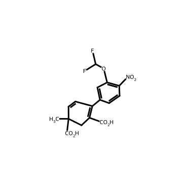 CC1(C(=O)O)C=CC(c2ccc([N+](=O)[O-])c(OC(F)F)c2)=C(C(=O)O)C1